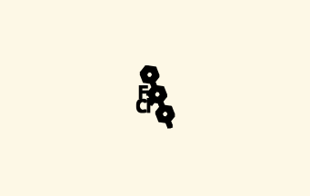 Cc1ccc(-c2ccc(-c3ccccc3)c(F)c2Cl)cc1